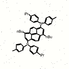 CCCCc1cc(N(c2ccc(C)cc2)c2ccc(C(C)C)cc2)c2ccc3c(CCCC)cc(N(c4ccc(C)cc4)c4ccc(C(C)C)cc4)c4ccc1c2c34